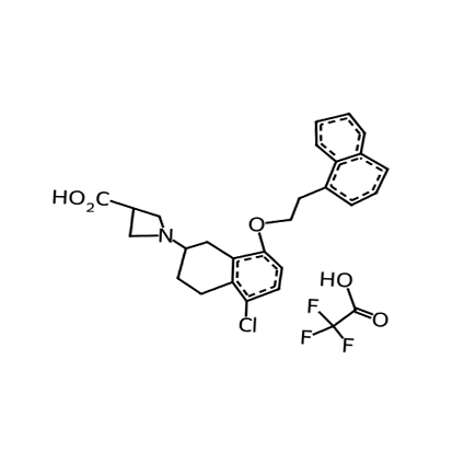 O=C(O)C(F)(F)F.O=C(O)C1CN(C2CCc3c(Cl)ccc(OCCc4cccc5ccccc45)c3C2)C1